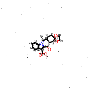 COC(=O)c1c(C=O)n([C@H](C)C2CCC3(CC2)OCCO3)c2ccccc12